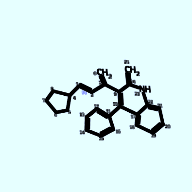 C=C(/C=C/C1CCCC1)C1=C(c2ccccc2)c2ccccc2NC1=C